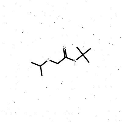 CC(C)SCC(=O)NC(C)(C)C